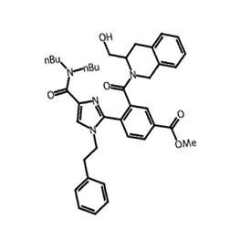 CCCCN(CCCC)C(=O)c1cn(CCc2ccccc2)c(-c2ccc(C(=O)OC)cc2C(=O)N2Cc3ccccc3CC2CO)n1